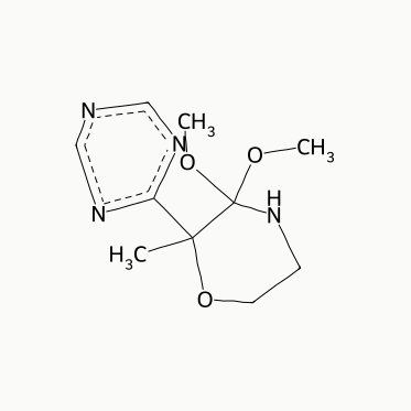 COC1(OC)NCCOC1(C)c1ncncn1